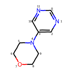 [c]1ncc(N2CCOCC2)cn1